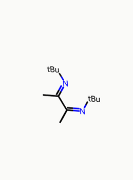 CC(=NC(C)(C)C)C(C)=NC(C)(C)C